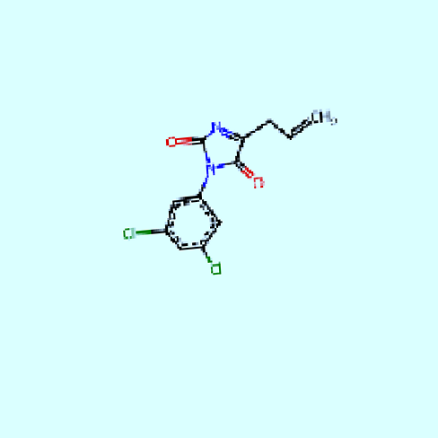 C=CCC1=NC(=O)N(c2cc(Cl)cc(Cl)c2)C1=O